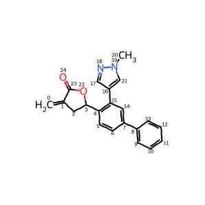 C=C1CC(c2ccc(-c3ccccc3)cc2-c2cnn(C)c2)OC1=O